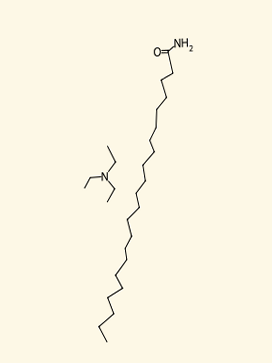 CCCCCCCCCCCCCCCCCCCCCC(N)=O.CCN(CC)CC